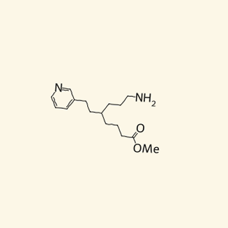 COC(=O)CCCC(CCCN)CCc1cccnc1